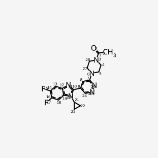 CC(=O)N1CCN(c2cc(-c3nc4cc(F)c(F)cc4n3C3CC3)cnn2)CC1